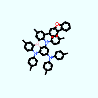 Cc1ccc(N(c2ccc(C)cc2)c2cc3c4c(c2)N(c2ccc(C)cc2)c2c(cc(C)cc2-c2ccc5c(c2)oc2ccccc25)B4c2cc(C)ccc2N3c2ccc(C)cc2)cc1